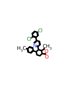 Cc1ccc(C2CCC3C(=O)OC(C)C3C2c2ccc(-c3cc(Cl)ccc3Cl)cn2)cc1